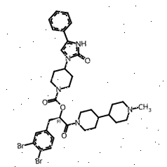 CN1CCC(C2CCN(C(=O)[C@@H](Cc3ccc(Br)c(Br)c3)OC(=O)N3CCC(n4cc(-c5ccccc5)[nH]c4=O)CC3)CC2)CC1